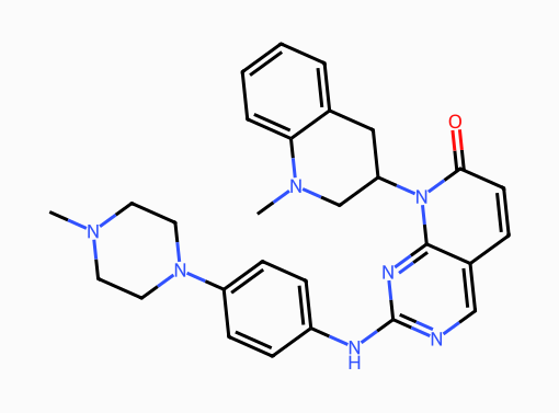 CN1CCN(c2ccc(Nc3ncc4ccc(=O)n(C5Cc6ccccc6N(C)C5)c4n3)cc2)CC1